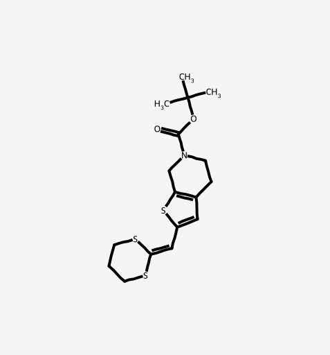 CC(C)(C)OC(=O)N1CCc2cc(C=C3SCCCS3)sc2C1